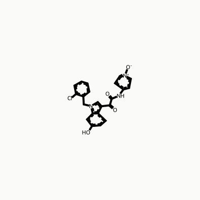 O=C(Nc1cc[n+]([O-])cc1)C(=O)c1cn(Cc2ccccc2Cl)c2cc(O)ccc12